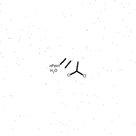 CC.CC(Cl)Cl.CCCCCC.O